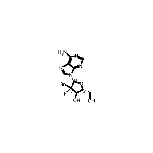 Nc1ncnc2c1ncn2[C@@H]1O[C@H](CO)C(O)[C@]1(F)Br